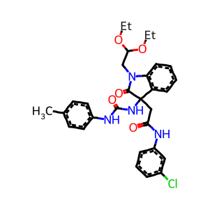 CCOC(CN1C(=O)C(CC(=O)Nc2cccc(Cl)c2)(NC(=O)Nc2ccc(C)cc2)c2ccccc21)OCC